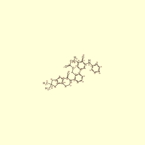 CC(=O)OCc1c(-c2cc(Nc3ccncn3)c(=O)n(C)c2)cccc1N1CCn2c(cc3c2CC(C)(C)C3)C1=O